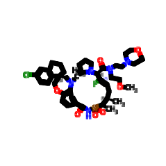 COCCN(CCN1CCOCC1)C(=O)[C@H]1/C(F)=C/C[C@H](C)[C@@H](C)S(=O)(=O)NC(=O)c2ccc3c(c2)N(C[C@@H]2CCCN21)C[C@@]1(CCCc2cc(Cl)ccc21)CO3